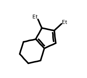 CC[C]1C(CC)=CC2=C1CCCC2